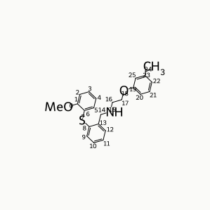 COc1ccccc1Sc1ccccc1CNCCOc1cccc(C)c1